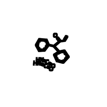 C=CC(=O)C(c1ccccc1)c1ccccc1.N=C=O.N=C=O